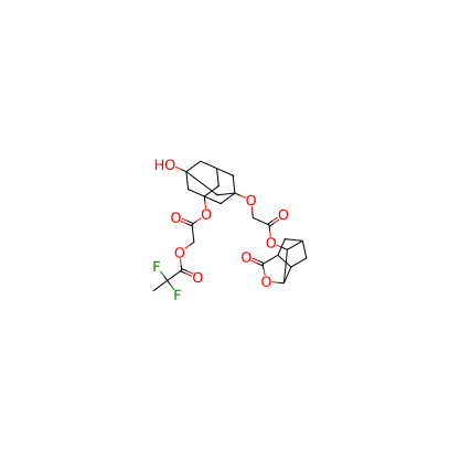 CC(F)(F)C(=O)OCC(=O)OC12CC3CC(O)(CC(OCC(=O)OC4C5CC6C(=O)OC4C6C5)(C3)C1)C2